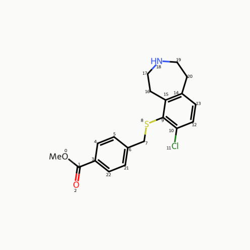 COC(=O)c1ccc(CSc2c(Cl)ccc3c2CCNCC3)cc1